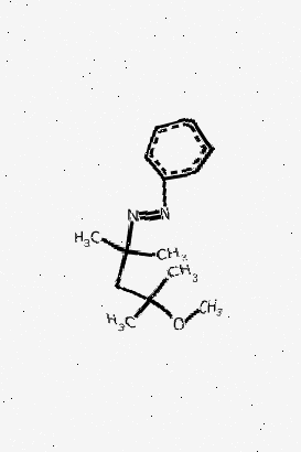 COC(C)(C)CC(C)(C)N=Nc1ccccc1